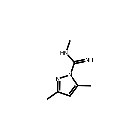 CNC(=N)n1nc(C)cc1C